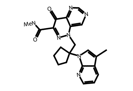 CNC(=O)c1nn(CC2(n3cc(C)c4cccnc43)CCCC2)c2cncnc2c1=O